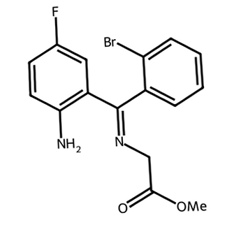 COC(=O)C/N=C(/c1cc(F)ccc1N)c1ccccc1Br